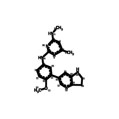 CNc1cc(C)nc(Nc2ccc(OC)c(-c3cnc4c(c3)NCC4)c2)n1